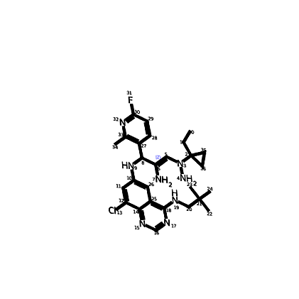 CCC1(N(N)/C=C(\N)C(Nc2cc(Cl)c3ncnc(NCC(C)(C)C)c3c2)c2ccc(F)nc2C)CC1